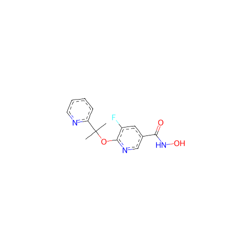 CC(C)(Oc1ncc(C(=O)NO)cc1F)c1ccccn1